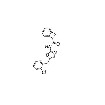 O=C(Nc1ncc(Cc2ccccc2Cl)o1)C1Cc2ccccc21